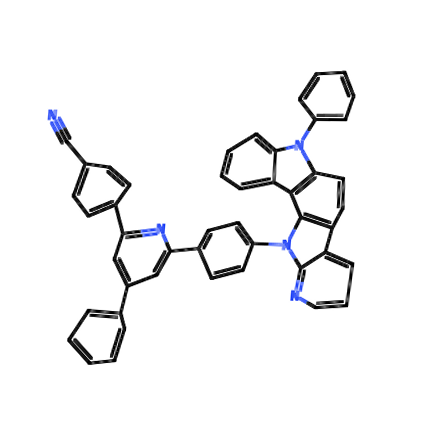 N#Cc1ccc(-c2cc(-c3ccccc3)cc(-c3ccc(-n4c5ncccc5c5ccc6c(c7ccccc7n6-c6ccccc6)c54)cc3)n2)cc1